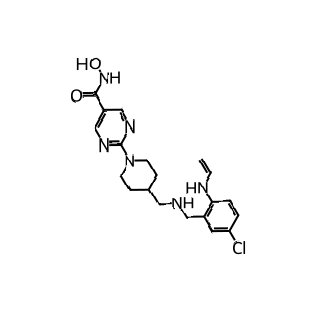 C=CNc1ccc(Cl)cc1CNCC1CCN(c2ncc(C(=O)NO)cn2)CC1